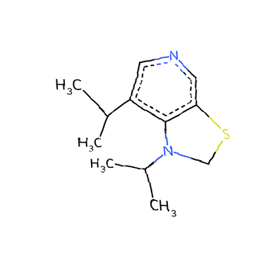 CC(C)c1cncc2c1N(C(C)C)CS2